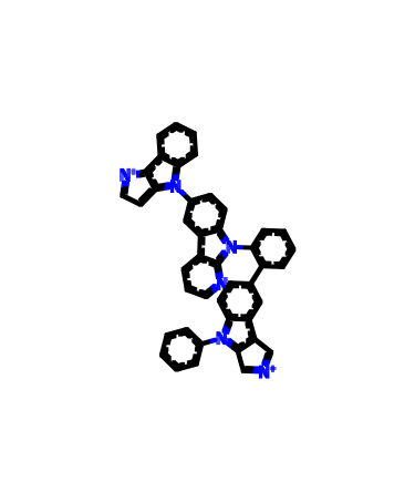 C1=[N+]=Cc2c1c1cc(-c3ccccc3-n3c4ccc(-n5c6c(c7ccccc75)=[N+]=CC=6)cc4c4cccnc43)ccc1n2-c1ccccc1